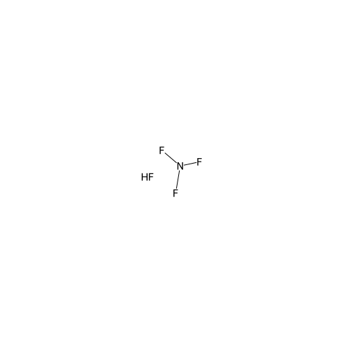 F.FN(F)F